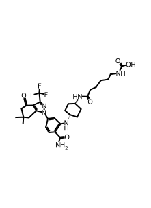 CC1(C)CC(=O)c2c(C(F)(F)F)nn(-c3ccc(C(N)=O)c(N[C@H]4CC[C@H](NC(=O)CCCCCNC(=O)O)CC4)c3)c2C1